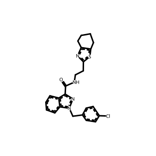 O=C(NCCc1nc2c(s1)CCCC2)c1nn(Cc2ccc(Cl)cc2)c2ccccc12